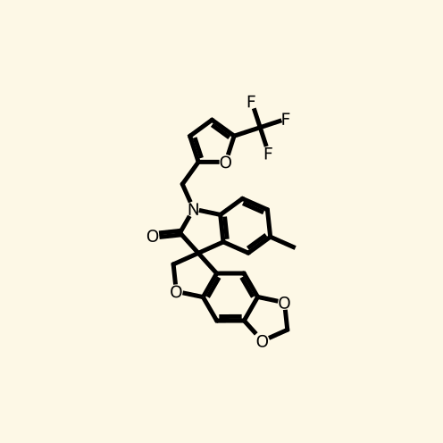 Cc1ccc2c(c1)C1(COc3cc4c(cc31)OCO4)C(=O)N2Cc1ccc(C(F)(F)F)o1